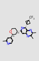 Cc1cc([C@@H]2C[C@@H](c3cc4nc(C)c(C)nc4c([C@]45C[C@](C(F)(F)F)(C4)C5)n3)CCO2)ccn1